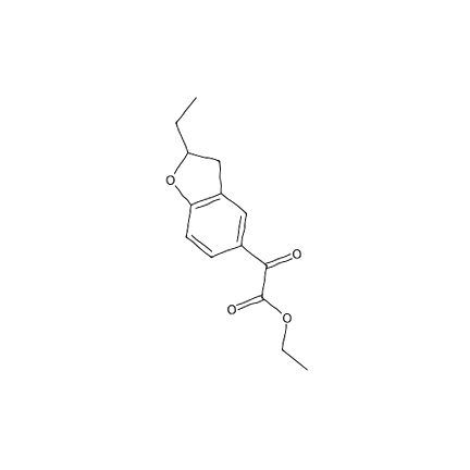 CCOC(=O)C(=O)c1ccc2c(c1)CC(CC)O2